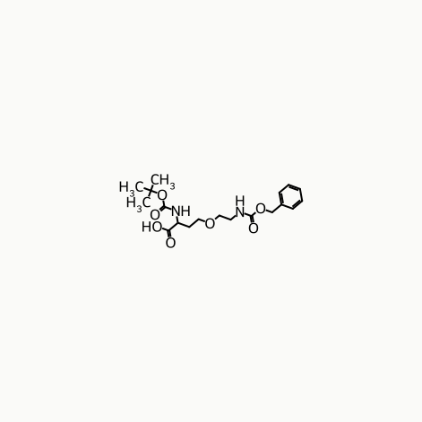 CC(C)(C)OC(=O)NC(CCOCCNC(=O)OCc1ccccc1)C(=O)O